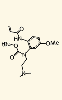 C=CC(=O)Nc1ccc(OC)cc1N(CCN(C)C)C(=O)OC(C)(C)C